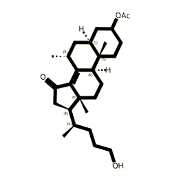 CC(=O)OC1CC[C@@]2(C)[C@H](C1)C[C@@H](C)C1=C3C(=O)C[C@H]([C@H](C)CCCO)[C@@]3(C)CC[C@@H]12